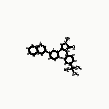 CCn1cc(-c2cc(-c3cnc4ccccc4c3)ccn2)n(-c2ccc(C(C)(C)C#N)cc2)c1=O